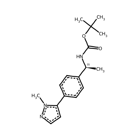 C[C@H](NC(=O)OC(C)(C)C)c1ccc(-c2ccnn2C)cc1